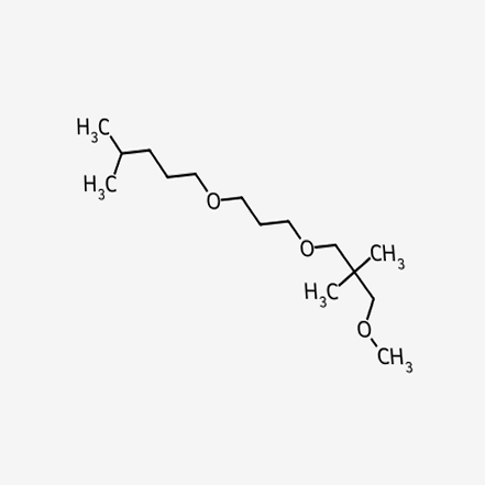 COCC(C)(C)COCCCOCCCC(C)C